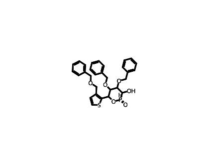 O=[PH]1OC(c2sccc2COCc2ccccc2)C(OCc2ccccc2)C(OCc2ccccc2)C1O